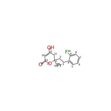 CC(C)C1(CCc2ccccc2F)CC(O)=CC(=O)O1